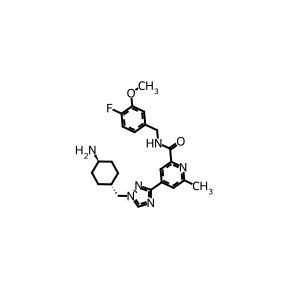 COc1cc(CNC(=O)c2cc(-c3ncn(C[C@H]4CC[C@H](N)CC4)n3)cc(C)n2)ccc1F